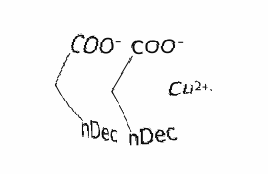 CCCCCCCCCCCC(=O)[O-].CCCCCCCCCCCC(=O)[O-].[Cu+2]